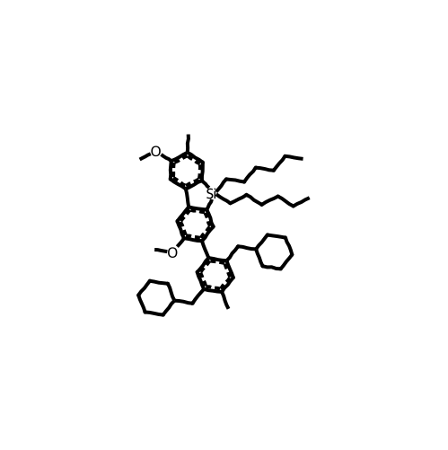 CCCCCC[Si]1(CCCCCC)c2cc(C)c(OC)cc2-c2cc(OC)c(-c3cc(CC4CCCCC4)c(C)cc3CC3CCCCC3)cc21